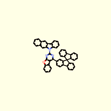 c1ccc2c(c1)-c1ccccc1C21c2ccccc2-c2ccc(-c3nc(-n4c5ccccc5c5cc6ccccc6cc54)nc4oc5ccccc5c34)cc21